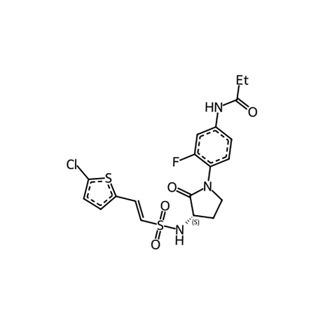 CCC(=O)Nc1ccc(N2CC[C@H](NS(=O)(=O)C=Cc3ccc(Cl)s3)C2=O)c(F)c1